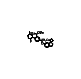 CO[C@H](c1cc(COc2ccc3c(c2)[C@@]2(CC3)CC[C@@H]2C(=O)O)ccc1-c1cc(C)ccc1F)C(C)(C)C